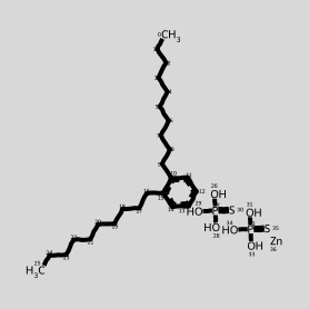 CCCCCCCCCCc1ccccc1CCCCCCCCCC.OP(O)(O)=S.OP(O)(O)=S.[Zn]